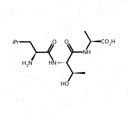 CC(C)C[C@H](N)C(=O)N[C@H](C(=O)N[C@@H](C)C(=O)O)[C@@H](C)O